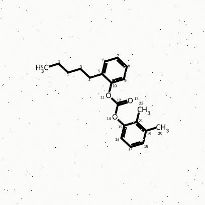 CCCCCc1ccccc1OC(=O)Oc1cccc(C)c1C